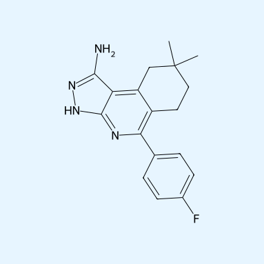 CC1(C)CCc2c(-c3ccc(F)cc3)nc3[nH]nc(N)c3c2C1